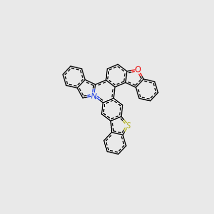 c1ccc2c(c1)cn1c3cc4c(cc3c3c(ccc5oc6ccccc6c53)c21)sc1ccccc14